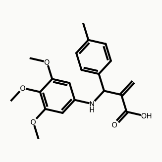 C=C(C(=O)O)C(Nc1cc(OC)c(OC)c(OC)c1)c1ccc(C)cc1